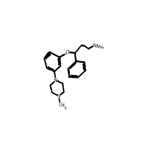 CNCCC(Oc1cccc(N2CCN(C)CC2)c1)c1ccccc1